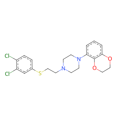 Clc1ccc(SCCN2CCN(c3cccc4c3OCCO4)CC2)cc1Cl